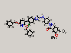 CC(C)Oc1cc2c(cc1[N+](=O)[O-])CN(C1CCC(N(C)C3CN(c4ccc(-c5ccc(OCc6ccccc6)nc5OCc5ccccc5)c(F)c4)C3)CC1)C2=O